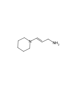 NCC=CN1CCCCC1